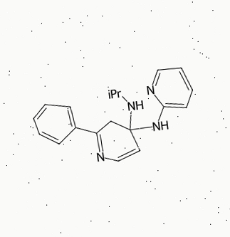 CC(C)NC1(Nc2ccccn2)C=CN=C(c2ccccc2)C1